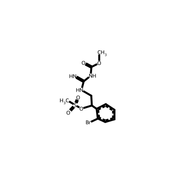 COC(=O)NC(=N)NCC(OS(C)(=O)=O)c1ccccc1Br